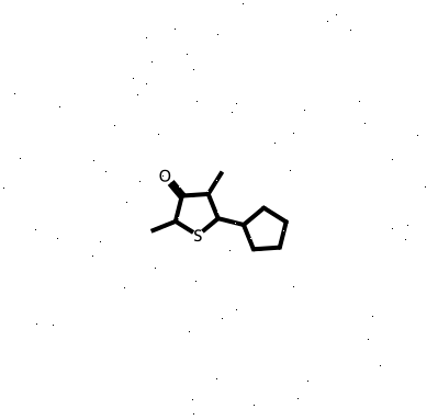 CC1SC(C2CCCC2)C(C)C1=O